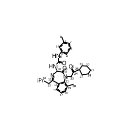 Cc1cccc(NC(=O)N[C@@H]2N=C(CC(C)C)c3cccc(C)c3N(CC(=O)C3CCCCC3)C2=O)c1